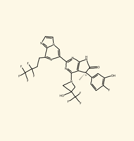 C[C@@]1(c2ccc(F)c(O)c2)C(=O)Nc2nc(-c3cn4ccnc4c(CCC(F)(F)C(F)(F)F)n3)nc(N3CC(O)(C(F)(F)F)C3)c21